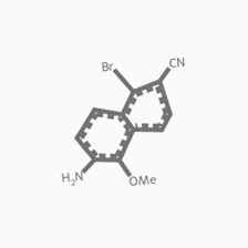 COc1c(N)ccc2c(Br)c(C#N)ccc12